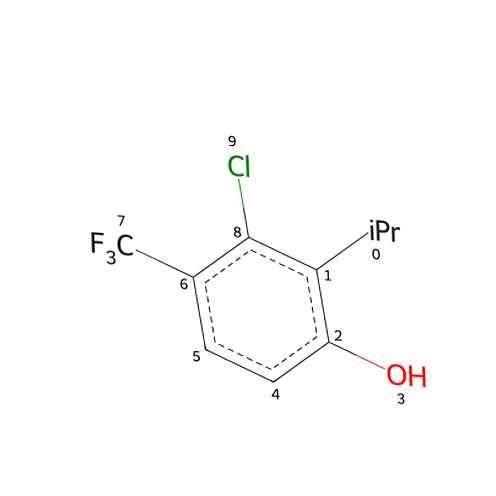 CC(C)c1c(O)ccc(C(F)(F)F)c1Cl